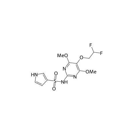 COc1nc(NS(=O)(=O)c2cc[nH]c2)nc(OC)c1OCC(F)F